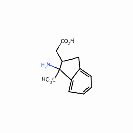 NC1(C(=O)O)c2ccccc2CC1CC(=O)O